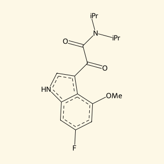 COc1cc(F)cc2[nH]cc(C(=O)C(=O)N(C(C)C)C(C)C)c12